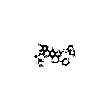 CC(C)(C)OC(=O)Nc1sc2c(F)ccc(-c3c(Cl)c4c5c(nc(OC[C@@]67CCCN6C[C@H](F)C7)nc5c3F)N(C3CCCOC3)CCO4)c2c1C#N